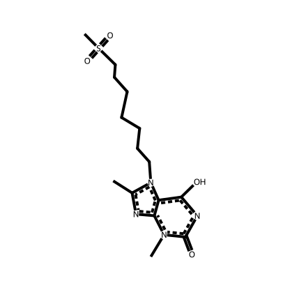 Cc1nc2c(c(O)nc(=O)n2C)n1CCCCCCCS(C)(=O)=O